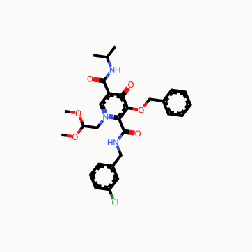 COC(Cn1cc(C(=O)NC(C)C)c(=O)c(OCc2ccccc2)c1C(=O)NCc1cccc(Cl)c1)OC